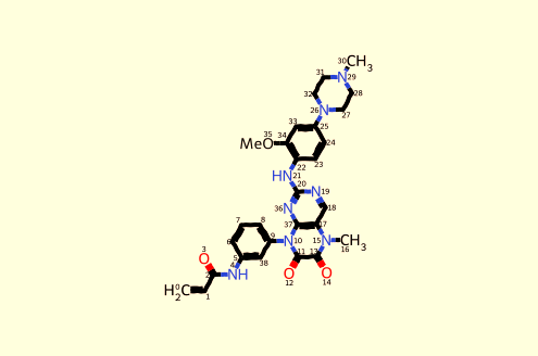 C=CC(=O)Nc1cccc(-n2c(=O)c(=O)n(C)c3cnc(Nc4ccc(N5CCN(C)CC5)cc4OC)nc32)c1